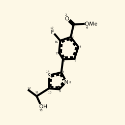 COC(=O)c1ccc(-c2ncc(C(C)O)s2)cc1F